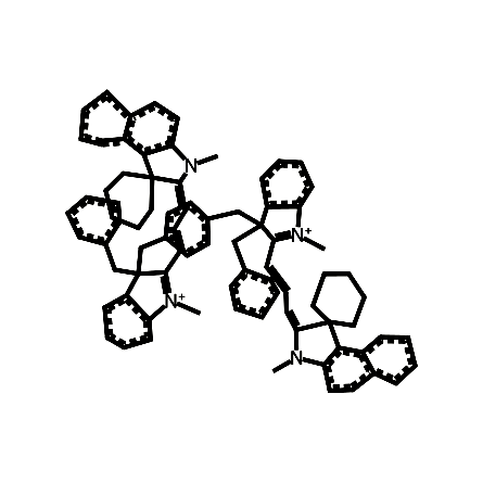 CN1/C(=C/C=C/C2=[N+](C)c3ccccc3C2(Cc2ccccc2)Cc2ccc(CC3(Cc4ccccc4)C(/C=C/C=C4/N(C)c5ccc6ccccc6c5C45CCCCC5)=[N+](C)c4ccccc43)cc2)C2(CCCCC2)c2c1ccc1ccccc21